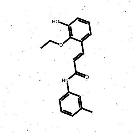 CCOc1c(O)cccc1/C=C/C(=O)Nc1cccc(I)c1